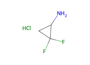 Cl.NC1CC1(F)F